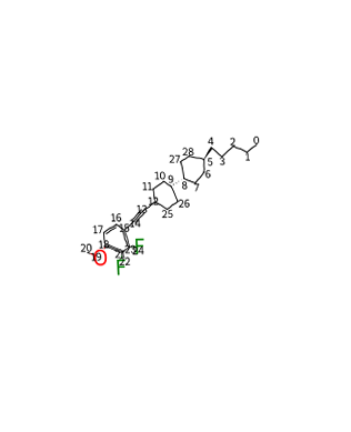 CCCCC[C@H]1CC[C@H](C2CCC(C#Cc3ccc(OC)c(F)c3F)CC2)CC1